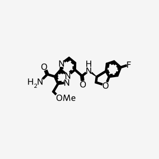 COCc1nn2c(C(=O)N[C@@H]3COc4cc(F)ccc43)ccnc2c1C(N)=O